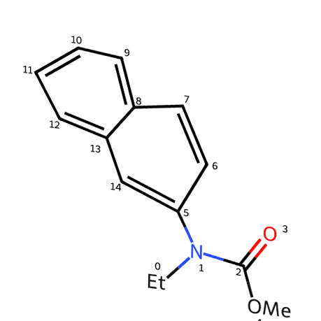 CCN(C(=O)OC)c1ccc2ccccc2c1